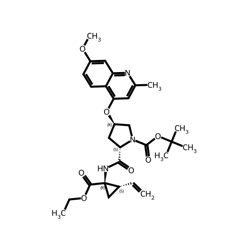 C=C[C@@H]1C[C@]1(NC(=O)[C@@H]1C[C@@H](Oc2cc(C)nc3cc(OC)ccc23)CN1C(=O)OC(C)(C)C)C(=O)OCC